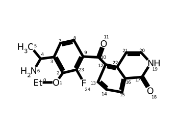 CCOc1c(C(C)N)ccc(C(=O)c2cccc3c(=O)[nH]ccc23)c1F